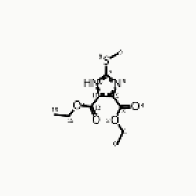 CCOC(=O)c1nc(SC)[nH]c1C(=O)OCC